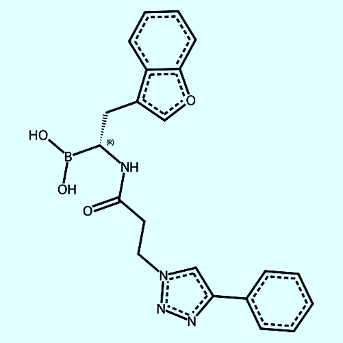 O=C(CCn1cc(-c2ccccc2)nn1)N[C@@H](Cc1coc2ccccc12)B(O)O